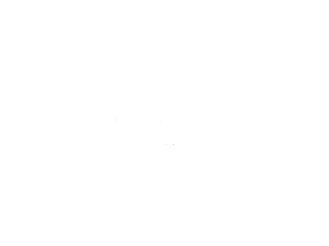 ClCC1COC(C2CCCCC2)O1